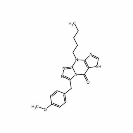 CCCCCn1c2nc[nH]c2c(=O)n2c(Cc3ccc(OC)cc3)nnc12